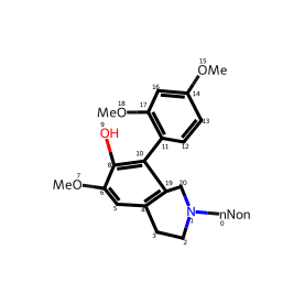 CCCCCCCCCN1CCc2cc(OC)c(O)c(-c3ccc(OC)cc3OC)c2C1